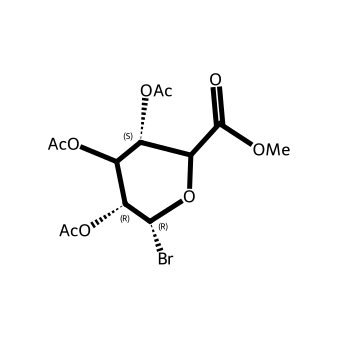 COC(=O)C1O[C@H](Br)[C@H](OC(C)=O)C(OC(C)=O)[C@@H]1OC(C)=O